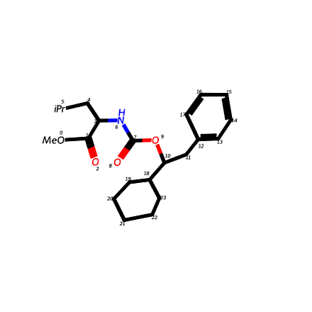 COC(=O)C(CC(C)C)NC(=O)OC(Cc1ccccc1)C1CCCCC1